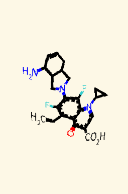 C=Cc1c(F)c(N2CC3CC=CC(N)C3C2)c(F)c2c1c(=O)c(C(=O)O)cn2C1CC1